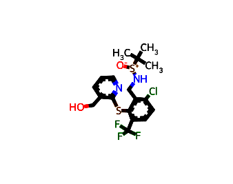 CC(C)(C)[S+]([O-])NCc1c(Cl)ccc(C(F)(F)F)c1Sc1ncccc1CO